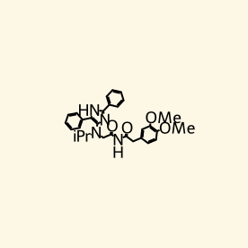 COc1ccc(CC(=O)NC(=O)CN(c2nc(-c3ccccc3)[nH]c2-c2ccccc2)C(C)C)cc1OC